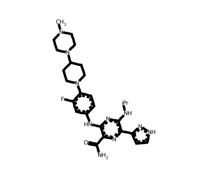 CC(C)Nc1nc(Nc2ccc(N3CCC(N4CCN(C)CC4)CC3)c(F)c2)c(C(N)=O)nc1-c1cc[nH]n1